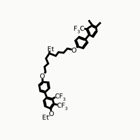 CCOc1ccc(-c2ccc(OCCCCC(CC)CCCCOc3ccc(-c4ccc(C)c(C)c4C(F)(F)F)cc3)cc2)c(C(F)(F)F)c1C(F)(F)F